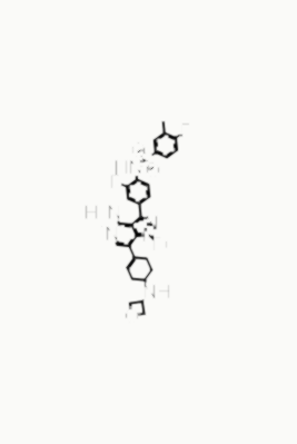 CCn1nc(-c2ccc(NS(=O)(=O)c3ccc(F)c(C)c3)c(F)c2)c2c(N)ncc(C3=CCC(NC4COC4)CC3)c21